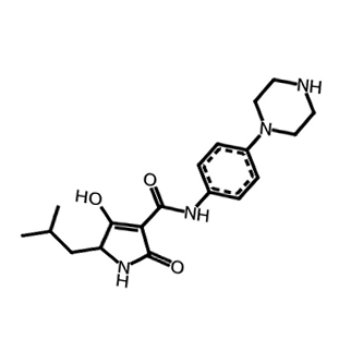 CC(C)CC1NC(=O)C(C(=O)Nc2ccc(N3CCNCC3)cc2)=C1O